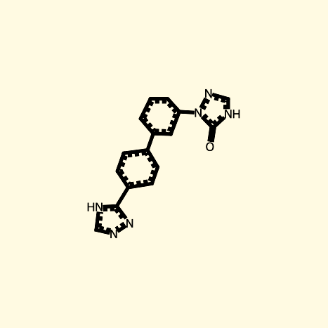 O=c1[nH]cnn1-c1cccc(-c2ccc(-c3nnc[nH]3)cc2)c1